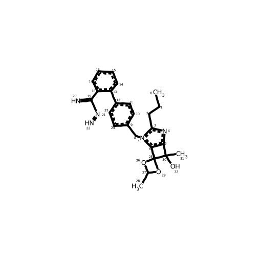 CCCc1nc2c(n1Cc1ccc(-c3ccccc3C(=N)N=N)cc1)C1(OC(C)O1)C2(C)O